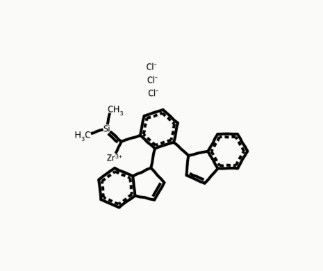 C[Si](C)=[C]([Zr+3])c1cccc(C2C=Cc3ccccc32)c1C1C=Cc2ccccc21.[Cl-].[Cl-].[Cl-]